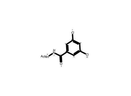 CC(=O)NNC(=O)c1cc(Cl)cc(Cl)c1